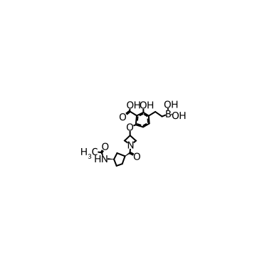 CC(=O)N[C@@H]1CC[C@H](C(=O)N2CC(Oc3ccc(CCB(O)O)c(O)c3C(=O)O)C2)C1